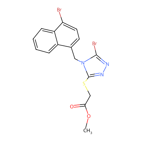 COC(=O)CSc1nnc(Br)n1Cc1ccc(Br)c2ccccc12